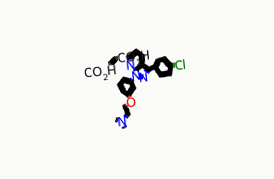 CN(C)CCOc1cccc(-n2nc(-c3ccc(Cl)cc3)c3cccnc32)c1.O=C(O)/C=C\C(=O)O